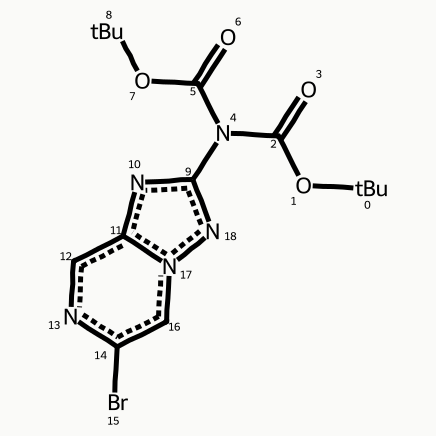 CC(C)(C)OC(=O)N(C(=O)OC(C)(C)C)c1nc2cnc(Br)cn2n1